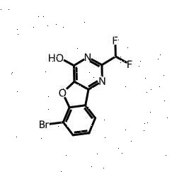 Oc1nc(C(F)F)nc2c1oc1c(Br)cccc12